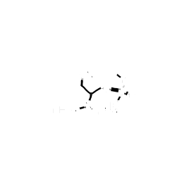 CCCCCCN(CCCCCC)C(C)CC#N.COS(=O)(=O)O